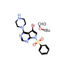 CC(C)(C)OC=O.O=S(=O)(c1ccccc1)n1cc(Br)c2c(N3CCNCC3)ncnc21